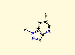 CC(C)n1ncc2ncc(Br)cc21